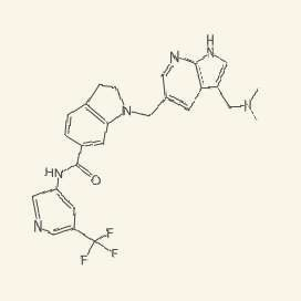 CN(C)Cc1c[nH]c2ncc(CN3CCc4ccc(C(=O)Nc5cncc(C(F)(F)F)c5)cc43)cc12